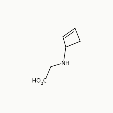 O=C(O)CNC1C=CC1